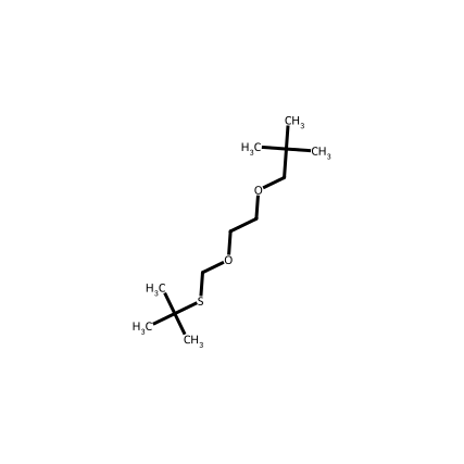 CC(C)(C)COCCOCSC(C)(C)C